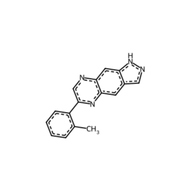 Cc1ccccc1-c1cnc2cc3[nH]ncc3cc2n1